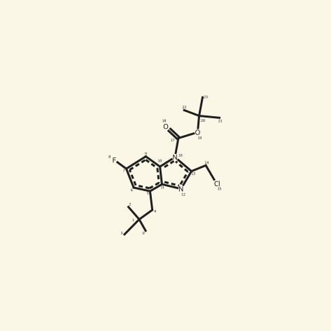 CC(C)(C)Cc1cc(F)cc2c1nc(CCl)n2C(=O)OC(C)(C)C